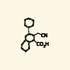 N#CCc1c(-c2ccccc2)cc2ccccc2c1C(=O)O